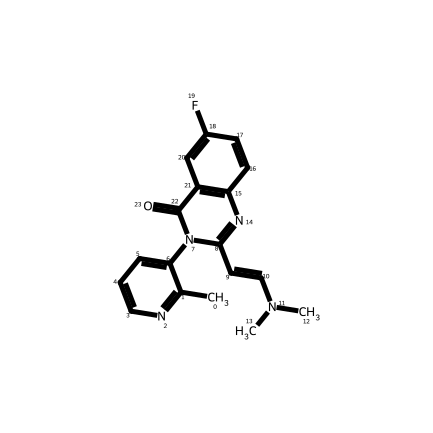 Cc1ncccc1-n1c(C=CN(C)C)nc2ccc(F)cc2c1=O